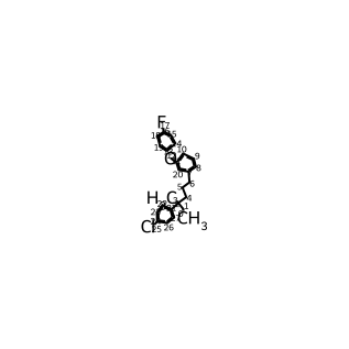 CCC(C)(CCCc1cccc(Oc2ccc(F)cc2)c1)c1ccc(Cl)cc1